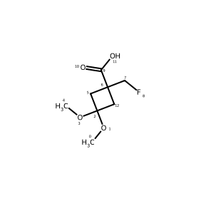 COC1(OC)CC(CF)(C(=O)O)C1